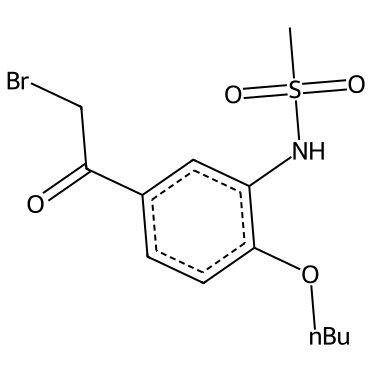 CCCCOc1ccc(C(=O)CBr)cc1NS(C)(=O)=O